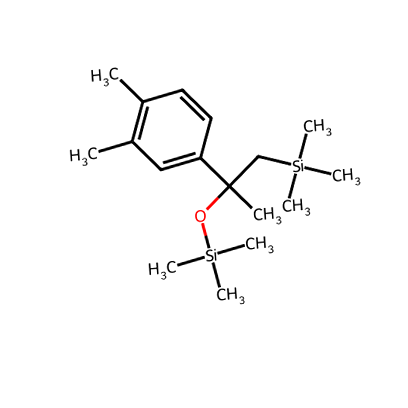 Cc1ccc(C(C)(C[Si](C)(C)C)O[Si](C)(C)C)cc1C